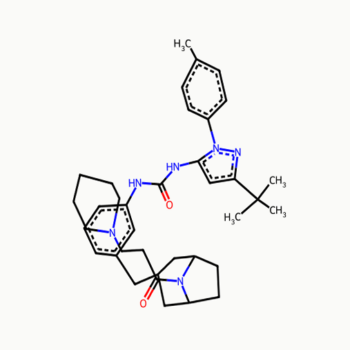 Cc1ccc(-n2nc(C(C)(C)C)cc2NC(=O)Nc2cccc(CC3CC4CCC(C3)N4C(=O)CCN3CCCCC3)c2)cc1